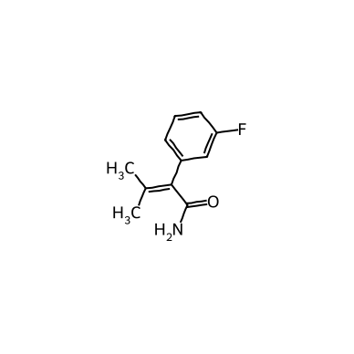 CC(C)=C(C(N)=O)c1cccc(F)c1